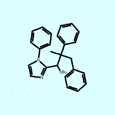 CCCCC(c1nccn1-c1ccccc1)C(C)(Cc1ccccc1)c1ccccc1